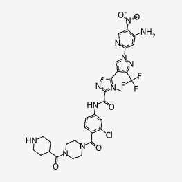 Cn1c(-c2cn(-c3cc(N)c([N+](=O)[O-])cn3)nc2C(F)(F)F)cnc1C(=O)Nc1ccc(C(=O)N2CCN(C(=O)C3CCNCC3)CC2)c(Cl)c1